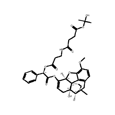 COc1ccc2c3c1O[C@@H]1C(OC(=O)[C@H](OC(=O)CCNC(=O)CCC(=O)OC(C)(C)O)c4ccccc4)=CC[C@]4(O)[C@H](C2)N(C)CC[C@@]314